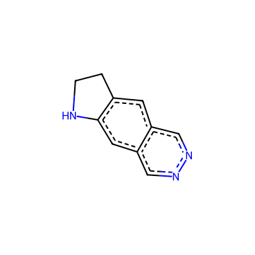 c1nncc2cc3c(cc12)CCN3